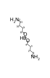 NCCCCOBOCCCCN